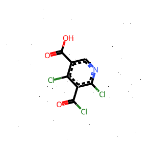 O=C(O)c1cnc(Cl)c(C(=O)Cl)c1Cl